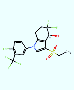 CCS(=O)(=O)c1cn(-c2ccc(F)c(C(F)(F)F)c2)c2c1[C@H](O)C(F)(F)CC2